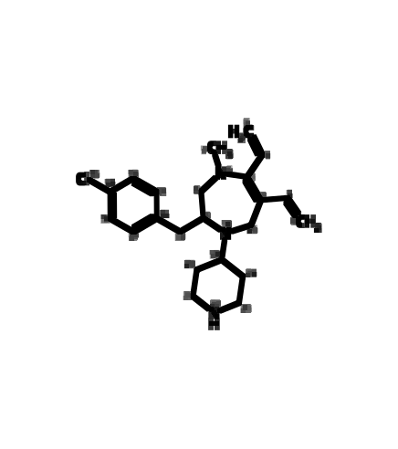 C=CC1=C(C=C)N(C)CC(Cc2ccc(Cl)cc2)N(C2CCNCC2)C1